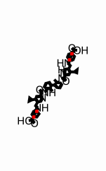 Cc1c(NC(=O)c2cc(C3CC3)c(CNC34CCC(C(=O)O)(CC3)CC4)cn2)cccc1-c1cccc(NC(=O)c2cc(C3CC3)c(CNC34CCC(C(=O)O)(CC3)CC4)cn2)c1C